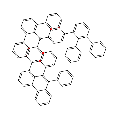 c1ccc(-c2cccc(-c3ccc(N(c4ccc(-c5cccc6c5c(-c5ccccc5)c(-c5ccccc5)c5ccccc56)cc4)c4c(-c5ccccc5)cccc4-c4ccccc4)cc3)c2-c2ccccc2)cc1